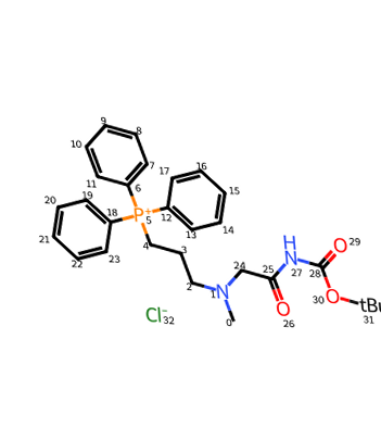 CN(CCC[P+](c1ccccc1)(c1ccccc1)c1ccccc1)CC(=O)NC(=O)OC(C)(C)C.[Cl-]